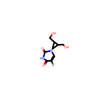 O=c1[nH]c(=O)n(C2C(CO)C2CO)cc1F